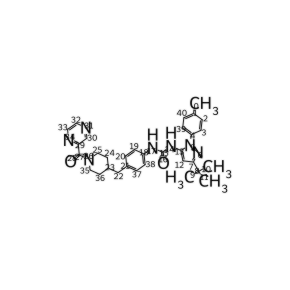 Cc1ccc(-n2nc(C(C)(C)C)cc2NC(=O)Nc2ccc(CC3CCN(C(=O)c4cnccn4)CC3)cc2)cc1